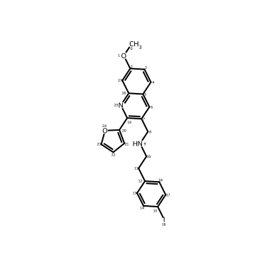 COc1ccc2cc(CNCCc3ccc(I)cc3)c(-c3ccco3)nc2c1